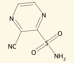 N#Cc1nccnc1S(N)(=O)=O